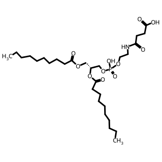 CCCCCCCCCC(=O)OC[C@H](COP(=O)(O)OCCNC(=O)CCC(=O)O)OC(=O)CCCCCCCCC